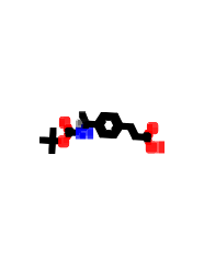 C[C@H](NC(=O)OC(C)(C)C)c1ccc(CCC(=O)O)cc1